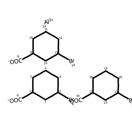 O=C([O-])C1CCCC(Br)C1.O=C([O-])C1CCCC(Br)C1.O=C([O-])C1CCCC(Br)C1.[Al+3]